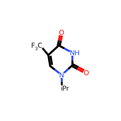 CC(C)n1cc(C(F)(F)F)c(=O)[nH]c1=O